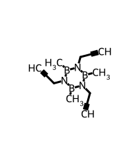 C#CCN1B(C)N(CC#C)B(C)N(CC#C)B1C